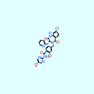 COc1cnc(NC(=O)c2ccc(CN3C(=O)c4ccc(Cl)cc4NC(=O)[C@H]3Cc3ccccn3)cc2OC)nc1